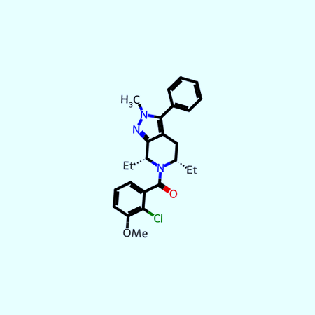 CC[C@H]1Cc2c(nn(C)c2-c2ccccc2)[C@@H](CC)N1C(=O)c1cccc(OC)c1Cl